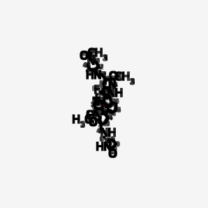 COC1=C(CNC[C@@H]2CCC(=O)N2)C=CC(c2ccncc2Cl)(c2cccc3c2CC[C@H]3Nc2nc(OC)c(CNC3CCN(C(C)=O)CC3)cc2C(F)(F)F)N1